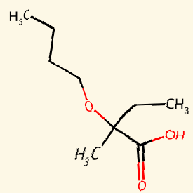 CCCCOC(C)(CC)C(=O)O